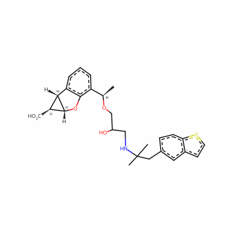 C[C@@H](OCC(O)CNC(C)(C)Cc1ccc2sccc2c1)c1cccc2c1O[C@@H]1[C@@H](C(=O)O)[C@H]21